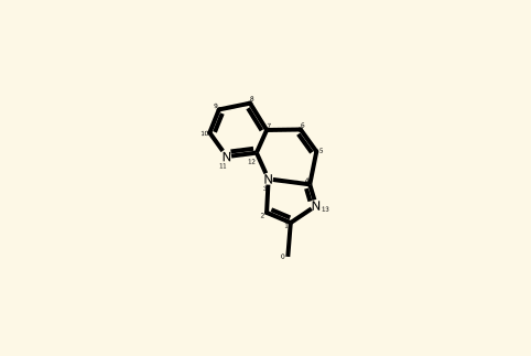 Cc1cn2c(ccc3cccnc32)n1